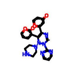 O=c1ccoc(C2=C(c3cccoc3=O)N(N3CCNCC3)N(c3ncccn3)[C]=N2)c1